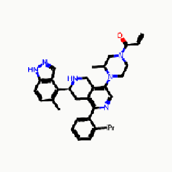 C=CC(=O)N1CCN(c2cnc(-c3ccccc3C(C)C)c3c2CN[C@H](c2c(C)ccc4[nH]ncc24)C3)C(C)C1